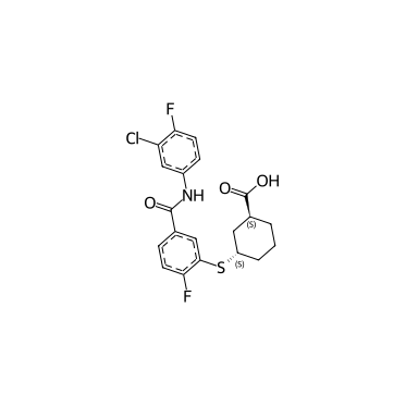 O=C(Nc1ccc(F)c(Cl)c1)c1ccc(F)c(S[C@H]2CCC[C@H](C(=O)O)C2)c1